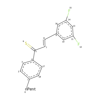 CCCCCc1ccc(C(=S)C=Cc2cc(F)cc(F)c2)cc1